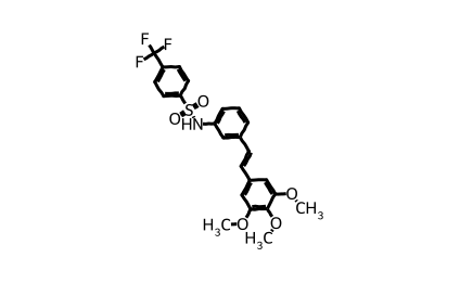 COc1cc(C=Cc2cccc(NS(=O)(=O)c3ccc(C(F)(F)F)cc3)c2)cc(OC)c1OC